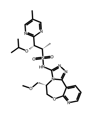 COC[C@H]1COc2ncccc2-c2nnc(NS(=O)(=O)[C@@H](C)[C@H](OC(C)C)c3ncc(C)cn3)n21